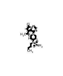 CCCCN(C1CCN(c2ncnn3c(Cl)cc(C(C)C)c23)CC1)S(N)(=O)=O